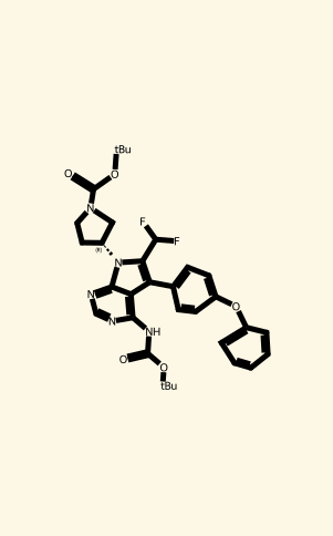 CC(C)(C)OC(=O)Nc1ncnc2c1c(-c1ccc(Oc3ccccc3)cc1)c(C(F)F)n2[C@@H]1CCN(C(=O)OC(C)(C)C)C1